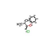 CC(C)/C(=C/Cl)Oc1ccccc1